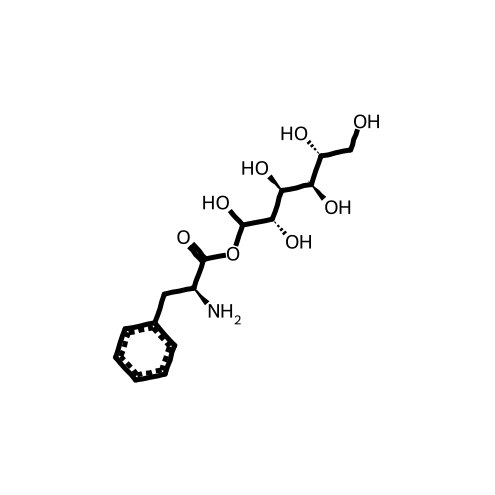 N[C@@H](Cc1ccccc1)C(=O)OC(O)[C@@H](O)[C@@H](O)[C@H](O)[C@H](O)CO